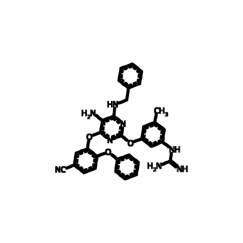 Cc1cc(NC(=N)N)cc(Oc2nc(NCc3ccccc3)c(N)c(Oc3cc(C#N)ccc3Oc3ccccc3)n2)c1